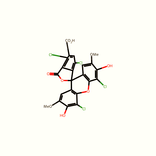 COc1cc2c(c(Cl)c1O)Oc1c(cc(OC)c(O)c1Cl)C21OC(=O)c2c(Cl)c(C(=O)O)cc(Cl)c21